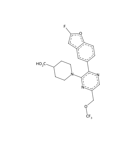 O=C(O)C1CCN(c2nc(COC(F)(F)F)cnc2-c2ccc3oc(F)cc3c2)CC1